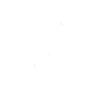 c1ccc(-c2nc3ccc4oc5cc(N(c6ccc7c8ccccc8n(-c8ccccc8)c7c6)c6cccc7sc8ccccc8c67)ccc5c4c3o2)cc1